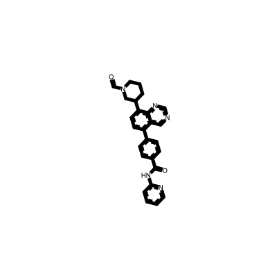 O=CN1CCCC(c2ccc(-c3ccc(C(=O)Nc4ccccn4)cc3)c3cncnc23)C1